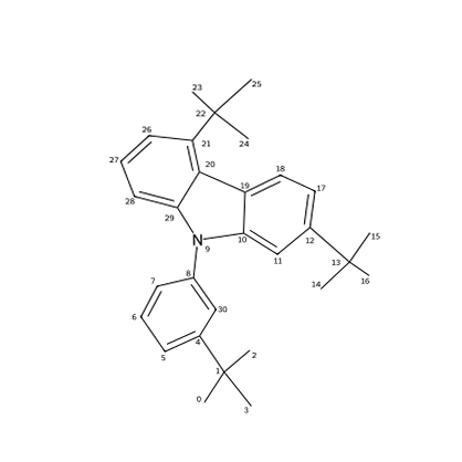 CC(C)(C)c1cccc(-n2c3cc(C(C)(C)C)ccc3c3c(C(C)(C)C)cccc32)c1